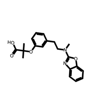 CN(CCc1cccc(OC(C)(C)C(=O)O)c1)c1nc2ccccc2o1